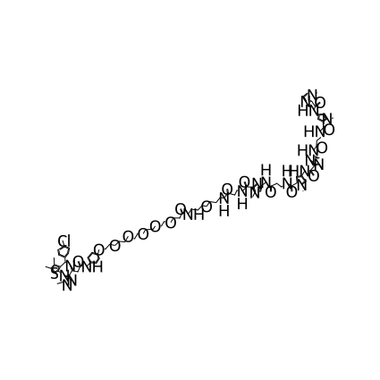 Cc1sc2c(c1C)C(c1ccc(Cl)cc1)=N[C@@H](CC(=O)Nc1ccc(OCCOCCOCCOCCOCCOCCC(=O)NCCCOCCCNC(=O)CCNC(=O)c3nc(NC(=O)CCNC(=O)c4cc(NC(=O)c5nc(NC(=O)CCNC(=O)c6cc(NC(=O)c7nccn7C)cn6C)cn5C)cn4C)cn3C)cc1)c1nnc(C)n1-2